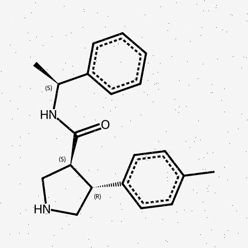 Cc1ccc([C@@H]2CNC[C@H]2C(=O)N[C@@H](C)c2ccccc2)cc1